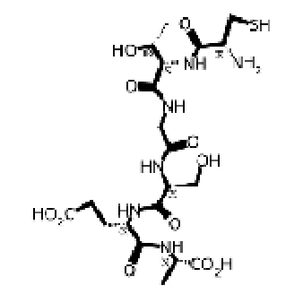 C[C@H](NC(=O)[C@H](CCC(=O)O)NC(=O)[C@H](CO)NC(=O)CNC(=O)[C@@H](NC(=O)[C@@H](N)CS)[C@@H](C)O)C(=O)O